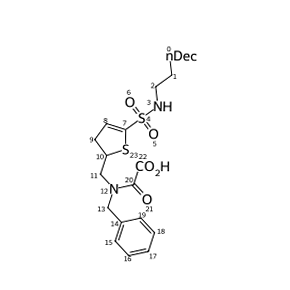 CCCCCCCCCCCCNS(=O)(=O)C1=CCC(CN(Cc2ccccc2)C(=O)C(=O)O)S1